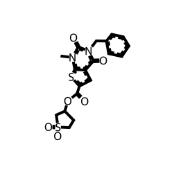 Cn1c(=O)n(Cc2ccccc2)c(=O)c2cc(C(=O)OC3CCS(=O)(=O)C3)sc21